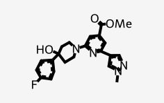 COC(=O)c1cc(-c2cnn(C)c2)nc(N2CCC(O)(c3ccc(F)cc3)CC2)c1